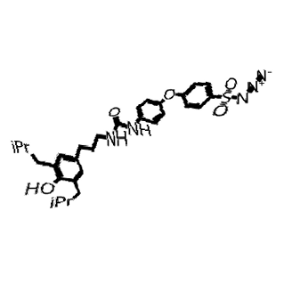 CC(C)Cc1cc(CCCNC(=O)Nc2ccc(Oc3ccc(S(=O)(=O)N=[N+]=[N-])cc3)cc2)cc(CC(C)C)c1O